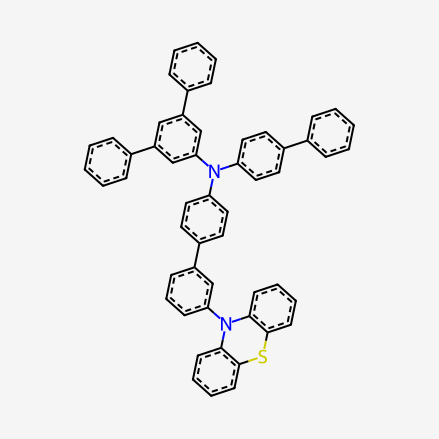 c1ccc(-c2ccc(N(c3ccc(-c4cccc(N5c6ccccc6Sc6ccccc65)c4)cc3)c3cc(-c4ccccc4)cc(-c4ccccc4)c3)cc2)cc1